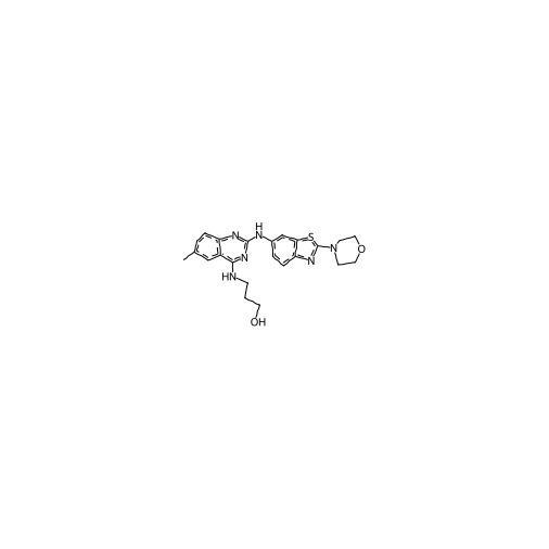 Cc1ccc2nc(Nc3ccc4nc(N5CCOCC5)sc4c3)nc(NCCCO)c2c1